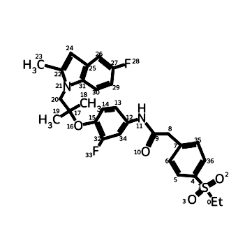 CCS(=O)(=O)c1ccc(CC(=O)Nc2ccc(OC(C)(C)Cn3c(C)cc4cc(F)ccc43)c(F)c2)cc1